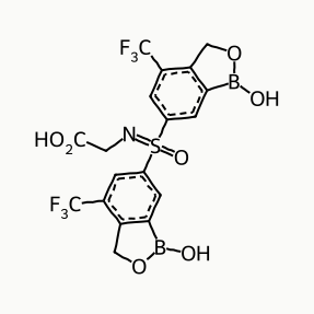 O=C(O)CN=S(=O)(c1cc2c(c(C(F)(F)F)c1)COB2O)c1cc2c(c(C(F)(F)F)c1)COB2O